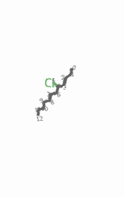 CCC=CC(Cl)CCCCCCC